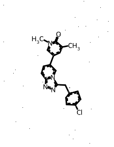 Cc1cc(-c2ccc3nnc(Cc4ccc(Cl)cc4)n3c2)cn(C)c1=O